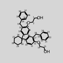 OCCOc1ccc(C2(c3ccc(OCCO)c(Cc4ccccc4)c3)CCCCC2)cc1Cc1ccccc1